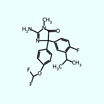 CC(C)c1cc(C2(c3ccc(OC(F)F)cc3)N=C(N)N(C)C2=O)ccc1F